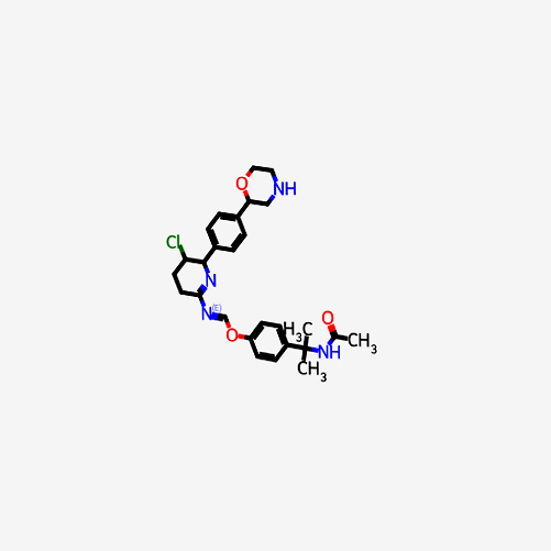 CC(=O)NC(C)(C)c1ccc(O/C=N/C2=NC(c3ccc(C4CNCCO4)cc3)C(Cl)CC2)cc1